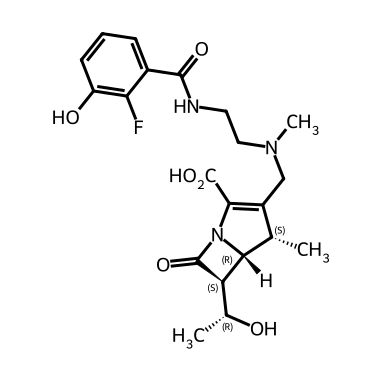 C[C@@H](O)[C@H]1C(=O)N2C(C(=O)O)=C(CN(C)CCNC(=O)c3cccc(O)c3F)[C@H](C)[C@H]12